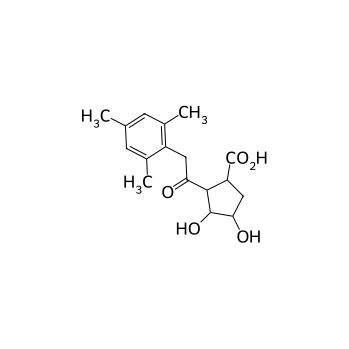 Cc1cc(C)c(CC(=O)C2C(C(=O)O)CC(O)C2O)c(C)c1